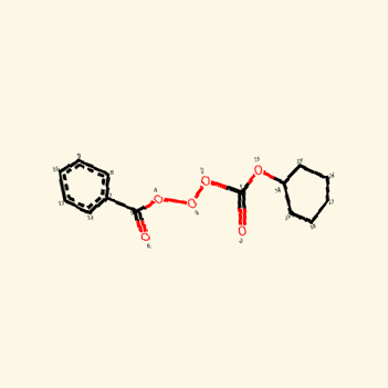 O=C(OOOC(=O)c1ccccc1)OC1CCCCC1